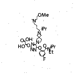 COCCN(C)CCC[C@H](C(C)C)N1CC2(CCN(c3ncnnc3Oc3ccc(F)cc3C(=O)N([13CH2][13CH3])[13CH]([13CH3])[13CH3])C2)C1.O=C(O)C(=O)O